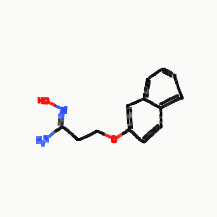 NC(CCOc1ccc2ccccc2c1)=NO